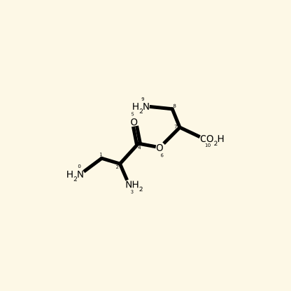 NCC(N)C(=O)OC(CN)C(=O)O